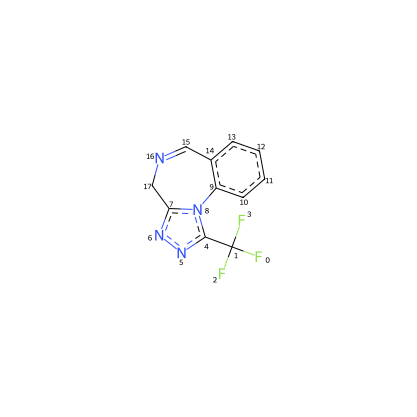 FC(F)(F)c1nnc2n1-c1ccccc1C=NC2